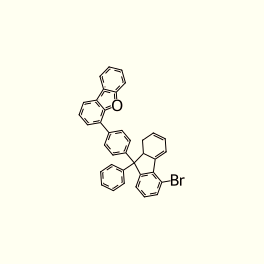 Brc1cccc2c1C1=CC=CCC1C2(c1ccccc1)c1ccc(-c2cccc3c2oc2ccccc23)cc1